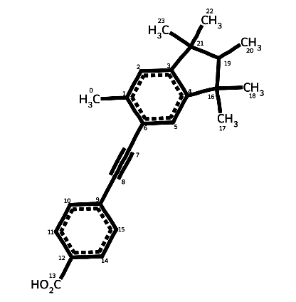 Cc1cc2c(cc1C#Cc1ccc(C(=O)O)cc1)C(C)(C)C(C)C2(C)C